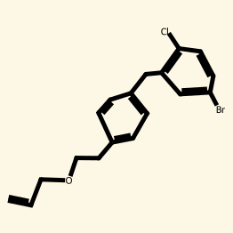 C=CCOCCc1ccc(Cc2cc(Br)ccc2Cl)cc1